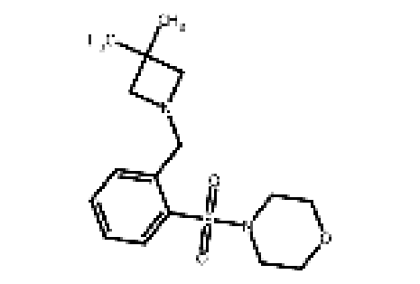 CC1(C)CN(Cc2ccccc2S(=O)(=O)N2CCOCC2)C1